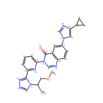 COCC(C)n1cnnc1-c1cccc(-n2cnc3ccc(-n4cnc(C5CC5)c4)cc3c2=O)n1